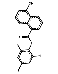 O=C(Oc1c(I)cc(I)cc1I)c1cccc2c(O)cccc12